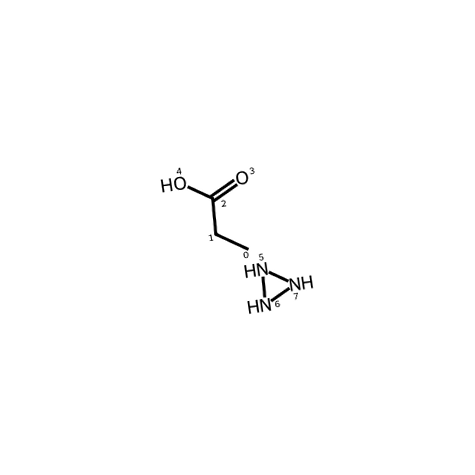 CCC(=O)O.[nH]1[nH][nH]1